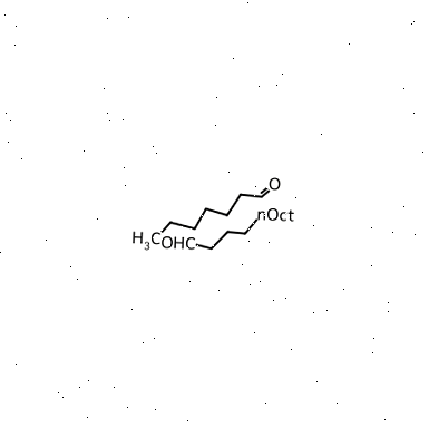 CCCCCCC=O.CCCCCCCCCCCC=O